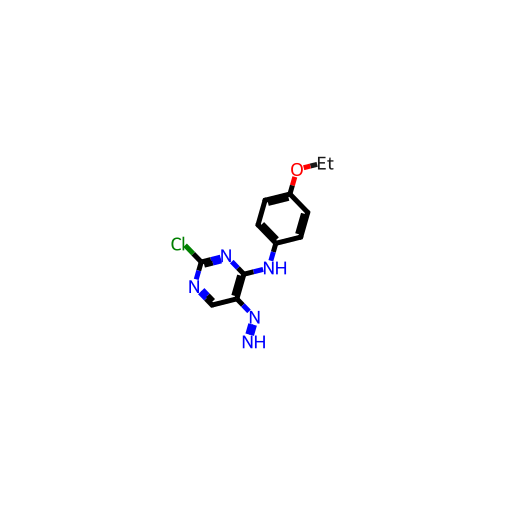 CCOc1ccc(Nc2nc(Cl)ncc2N=N)cc1